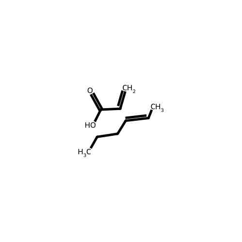 C=CC(=O)O.CC=CCCC